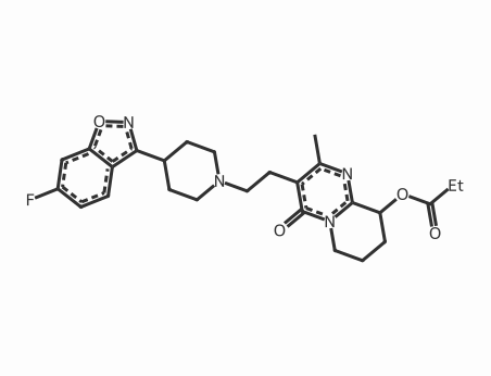 CCC(=O)OC1CCCn2c1nc(C)c(CCN1CCC(c3noc4cc(F)ccc34)CC1)c2=O